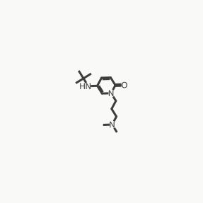 CN(C)CCCn1cc(NC(C)(C)C)ccc1=O